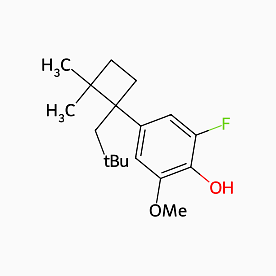 COc1cc(C2(CC(C)(C)C)CCC2(C)C)cc(F)c1O